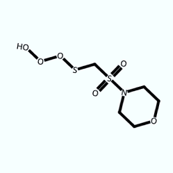 O=S(=O)(CSOOO)N1CCOCC1